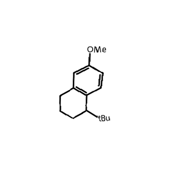 COc1ccc2c(c1)CCCC2C(C)(C)C